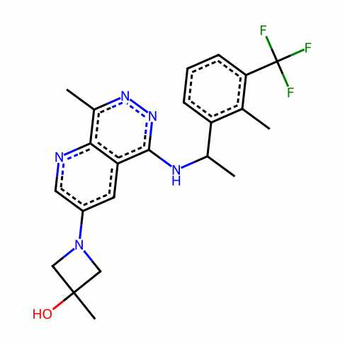 Cc1c(C(C)Nc2nnc(C)c3ncc(N4CC(C)(O)C4)cc23)cccc1C(F)(F)F